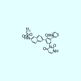 COc1c(-c2ccsc2)cc(-n2c(=O)cc[nH]c2=O)cc1-c1ccc2cc(NS(C)(=O)=O)ccc2c1